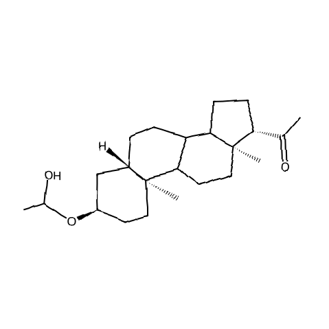 CC(=O)[C@H]1CCC2C3CC[C@H]4C[C@H](OC(C)O)CC[C@]4(C)C3CC[C@@]21C